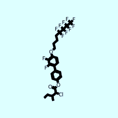 CCC(C)C(Cl)C(=O)Oc1ccc(-c2ccc(OCCCCC(F)(F)C(F)(F)C(F)(F)C(F)(F)F)c(F)c2F)cc1